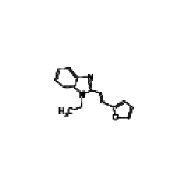 CCn1c(/C=C/c2ccco2)nc2ccccc21